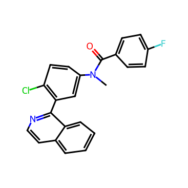 CN(C(=O)c1ccc(F)cc1)c1ccc(Cl)c(-c2nccc3ccccc23)c1